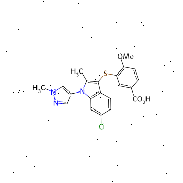 COc1ccc(C(=O)O)cc1Sc1c(C)n(-c2cnn(C)c2)c2cc(Cl)ccc12